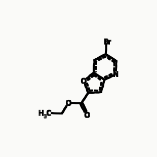 CCOC(=O)c1cc2ncc(Br)cc2o1